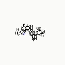 CC(C)c1ccc(Nc2ncc(C#N)c(NC3CC(C)(C)NC(C)(C)C3)n2)cc1N(N)/C=N\N